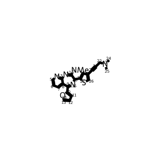 CNC1=Nc2ncccc2C(c2ccco2)=NC1c1cc(C#CCN(C)C)cs1